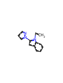 C=Cn1c(-n2cccn2)cc2ccccc21